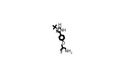 CC(C)(C)N1N=C(c2ccc(OC/C(=C/F)CN)cc2)NN1